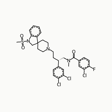 CN(C[C@@H](CCN1CCC2(CC1)CN(S(C)(=O)=O)c1ccccc12)c1ccc(Cl)c(Cl)c1)C(=O)c1ccc(F)c(Cl)c1